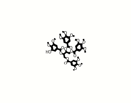 COc1cc(C(=O)OC(COC(=O)c2cc(OC)c(OC)c(OC)c2)C(COC(=O)c2cc(OC)c(OC)c(OC)c2)OC(=O)c2cc(OC)c(OC)c(OC)c2)cc(O)c1OC